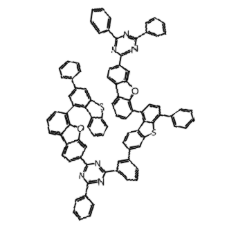 c1ccc(-c2cc(-c3cccc4c3oc3cc(-c5nc(-c6ccccc6)nc(-c6cccc(-c7ccc8c(c7)sc7c(-c9ccccc9)ccc(-c9cccc%10c9oc9cc(-c%11nc(-c%12ccccc%12)nc(-c%12ccccc%12)n%11)ccc9%10)c78)c6)n5)ccc34)c3c(c2)sc2ccccc23)cc1